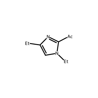 CCc1cn(CC)c(C(C)=O)n1